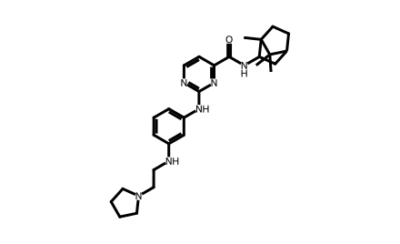 CC1(C)C2CCC1(C)C(NC(=O)c1ccnc(Nc3cccc(NCCN4CCCC4)c3)n1)C2